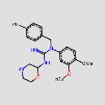 CCCCOc1cc(N(Cc2ccc(C(C)(C)C)cc2)C(=N)NC2CNCCO2)ccc1OC